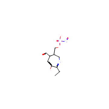 CCC1=NCC(COP(=O)(O)N=O)C(C=O)C=C1O